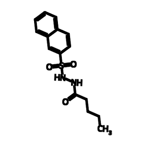 CCCCC(=O)NNS(=O)(=O)c1ccc2ccccc2c1